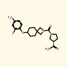 NC(=O)[C@@H]1CCN(C(=O)N2CC3(CCC(Oc4ccc(C(F)(F)F)cc4F)CC3)C2)C1